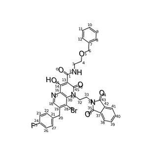 O=C(NCCOCc1ccccc1)c1c(O)c2ncc(Cc3ccc(F)cc3)c(Br)c2n(CCN2C(=O)c3ccccc3C2=O)c1=O